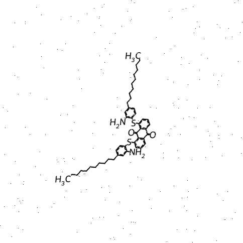 CCCCCCCCCCCc1ccc(Sc2cccc3c2C(=O)c2c(Sc4ccc(CCCCCCCCCCC)cc4N)cccc2C3=O)c(N)c1